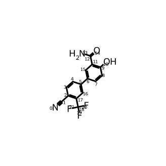 N#Cc1ccc(-c2ccc(O)c(C(N)=O)c2)cc1C(F)(F)F